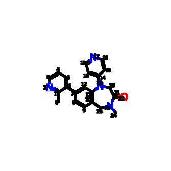 Cc1ncccc1-c1ccc2c(c1)N(c1ccncc1)CC(=O)N(C)C2